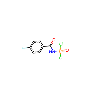 O=C(NP(=O)(Cl)Cl)c1ccc(F)cc1